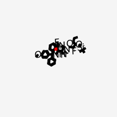 CC[C]1O[C@@H](n2cnc3c(NC(c4ccccc4)(c4ccccc4)c4ccc(OC)cc4)nc(F)nc32)[C@@H](F)[C@@H]1O[Si](C)(C)C(C)(C)C